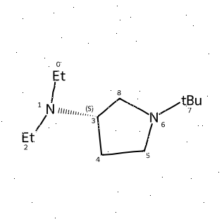 CCN(CC)[C@H]1CCN(C(C)(C)C)C1